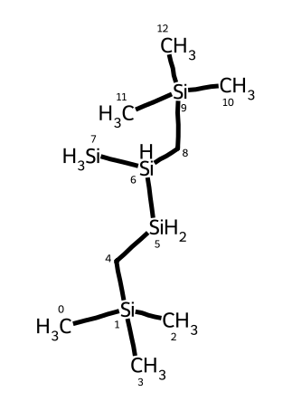 C[Si](C)(C)C[SiH2][SiH]([SiH3])C[Si](C)(C)C